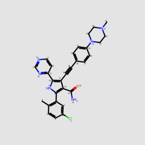 Cc1ccc(Cl)cc1-c1[nH]c(-c2ccncn2)c(C#Cc2ccc(N3CCN(C)CC3)cc2)c1C(N)=O